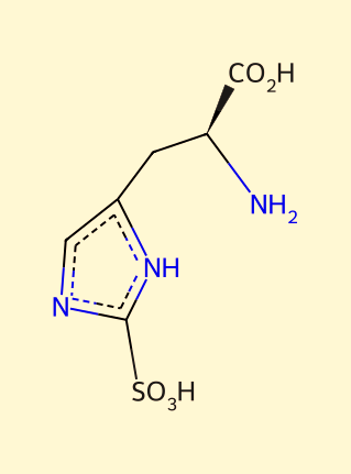 N[C@@H](Cc1cnc(S(=O)(=O)O)[nH]1)C(=O)O